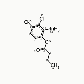 CCCC(=O)Oc1ccc(Cl)c(Cl)[c]1[InH2]